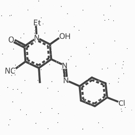 CCn1c(O)c(N=Nc2ccc(Cl)cc2)c(C)c(C#N)c1=O